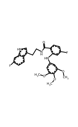 COc1cc(Nc2cc(F)ccc2C(=O)NCCc2c[nH]c3cc(F)ccc23)cc(OC)c1OC